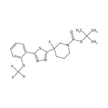 CC(C)(C)OC(=O)N1CCCC(F)(c2nnc(-c3ccccc3OC(F)(F)F)s2)C1